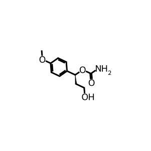 COc1ccc([C@H](CCO)OC(N)=O)cc1